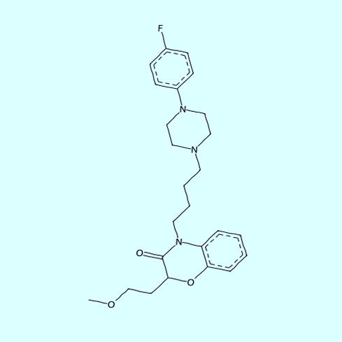 COCCC1Oc2ccccc2N(CCCCN2CCN(c3ccc(F)cc3)CC2)C1=O